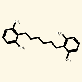 Cc1cccc(C)c1CCCCCCc1c(C)cccc1C